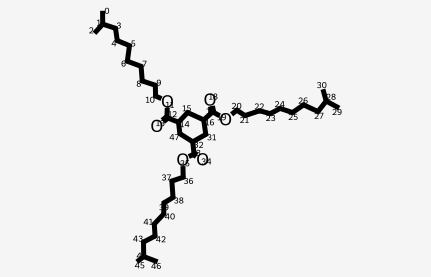 CC(C)CCCCCCCCOC(=O)C1CC(C(=O)OCCCCCCCCC(C)C)CC(C(=O)OCCCCCCCCC(C)C)C1